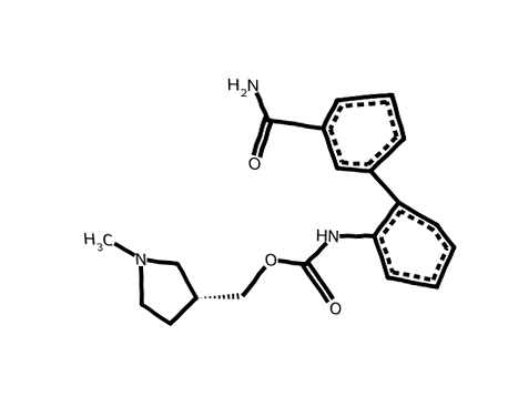 CN1CC[C@@H](COC(=O)Nc2ccccc2-c2cccc(C(N)=O)c2)C1